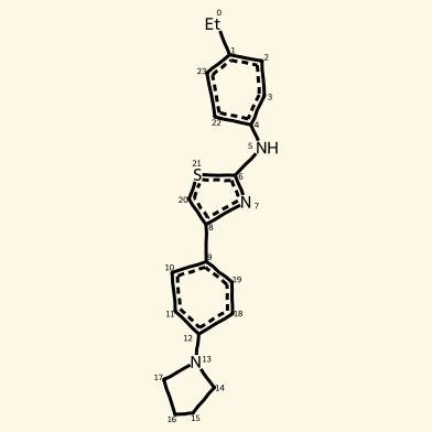 CCc1ccc(Nc2nc(-c3ccc(N4CCCC4)cc3)cs2)cc1